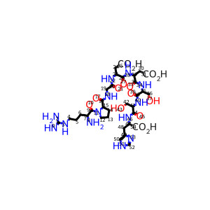 N=C(N)NCCCC(N)C(=O)N1CCCC1C(=O)NCC(=O)NC(CC(=O)O)C(=O)NC(CC(=O)O)C(=O)NC(CO)C(=O)NC(CO)C(=O)NC(Cc1c[nH]cn1)C(=O)O